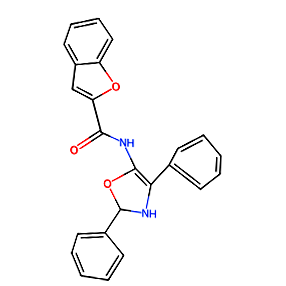 O=C(NC1=C(c2ccccc2)NC(c2ccccc2)O1)c1cc2ccccc2o1